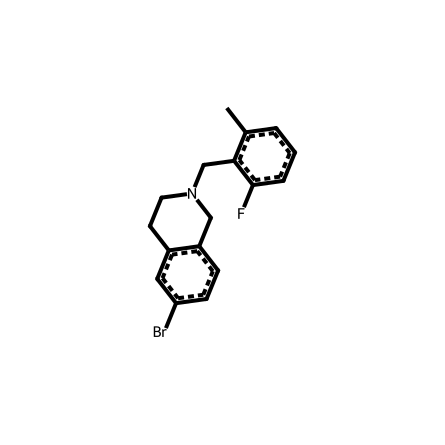 Cc1cccc(F)c1CN1CCc2cc(Br)ccc2C1